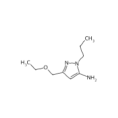 CCCn1nc(COCC)cc1N